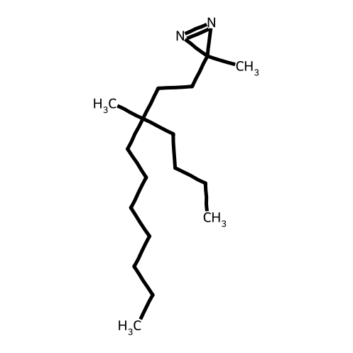 CCCCCCCC(C)(CCCC)CCC1(C)N=N1